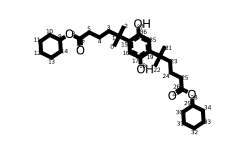 CC(C)(CCCC(=O)OC1CCCCC1)c1cc(O)c(C(C)(C)CCCC(=O)OC2CCCCC2)cc1O